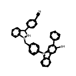 N#Cc1ccc(C2NN(Cc3ccc(-n4c5ccccc5c5cc(S)c(-c6ccccc6)cc54)cc3)c3ccccc32)cc1